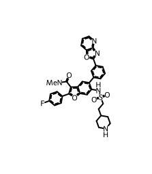 CNC(=O)c1c(-c2ccc(F)cc2)oc2cc(NS(=O)(=O)CCC3CCNCC3)c(-c3cccc(-c4nc5ncccc5o4)c3)cc12